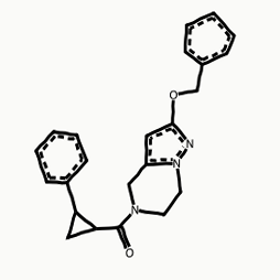 O=C(C1CC1c1ccccc1)N1CCn2nc(OCc3ccccc3)cc2C1